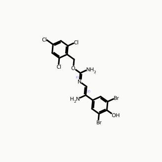 N/C(=C\N=C(/N)OCc1c(Cl)cc(Cl)cc1Cl)c1cc(Br)c(O)c(Br)c1